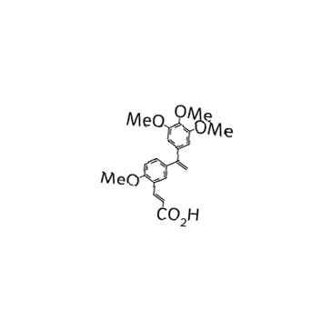 C=C(c1ccc(OC)c(/C=C/C(=O)O)c1)c1cc(OC)c(OC)c(OC)c1